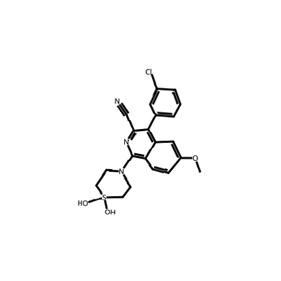 COc1ccc2c(N3CCS(O)(O)CC3)nc(C#N)c(-c3cccc(Cl)c3)c2c1